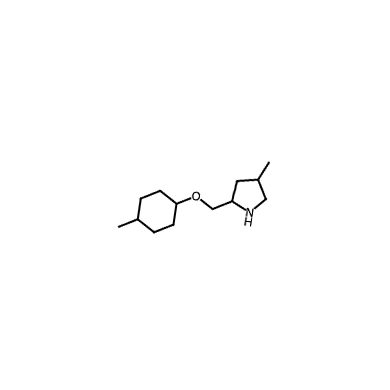 CC1CCC(OCC2CC(C)CN2)CC1